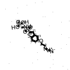 [N-]=[N+]=NCCOc1ccc2sc(S(=O)(=O)NCP(=O)(O)O)cc2c1